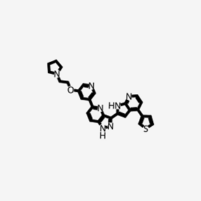 c1cc(-c2ccsc2)c2cc(-c3n[nH]c4ccc(-c5cncc(OCCN6CCCC6)c5)nc34)[nH]c2n1